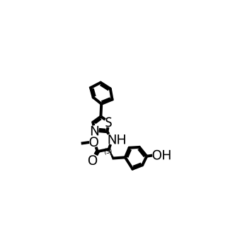 COC(=O)[C@H](Cc1ccc(O)cc1)Nc1ncc(-c2ccccc2)s1